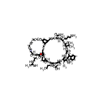 CCCC[C@@H]1NC(=O)[C@@H]2CCCN2C(=O)[C@@H]2CSCc3cc(cc(c3)OCCCCCCO/N=C/C(=O)N[C@@H](CCCNC(=N)N)C(=O)N2)CSC[C@@H](C(N)=O)NC(=O)[C@H](CCCCN)NC(=O)C(C(C)C)NC(=O)[C@H](Cc2c[nH]c3ccccc23)NC(=O)[C@H]([C@@H](C)CC)NC(=O)[C@H](CC(=O)O)NC1=O